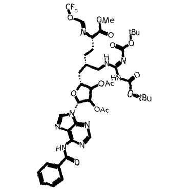 COC(=O)[C@H](CC[C@H](CN/C(=N\C(=O)OC(C)(C)C)NC(=O)OC(C)(C)C)C[C@H]1O[C@@H](n2cnc3c(NC(=O)c4ccccc4)ncnc32)C(OC(C)=O)C1OC(C)=O)N=COC(F)(F)F